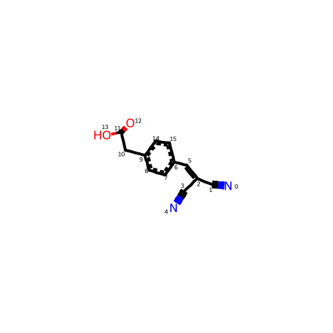 N#CC(C#N)=Cc1ccc(CC(=O)O)cc1